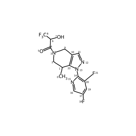 CC1CN(C(=O)C(O)C(F)(F)F)Cc2cnn(-c3ncc(F)cc3F)c21